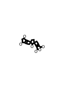 O=C1CC(=O)C2C1C1CC2C2(CCC3(CC4CC3C3C(=O)OC(=O)C43)C2=O)C1